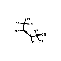 N#C[C](=[V]=[C](C#N)C(C#N)(C#N)C#N)C(C#N)(C#N)C#N